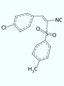 [C-]#[N+]C(=Cc1ccc(Cl)cc1)S(=O)(=O)c1ccc(C)cc1